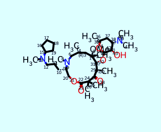 CO[C@]1(C)C[C@@H](C)CN(C)[C@@H](CCCN(C)C2CCCC2)COC(=O)C(C)(C)C(=O)[C@H](C)[C@H]1O[C@@H]1O[C@H](C)C[C@H](N(C)C)[C@H]1O